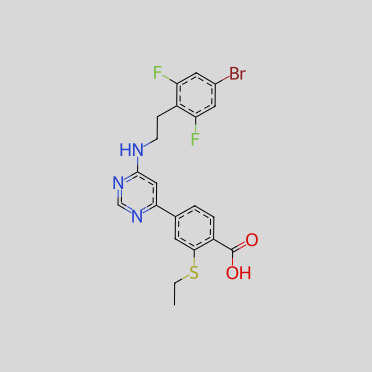 CCSc1cc(-c2cc(NCCc3c(F)cc(Br)cc3F)ncn2)ccc1C(=O)O